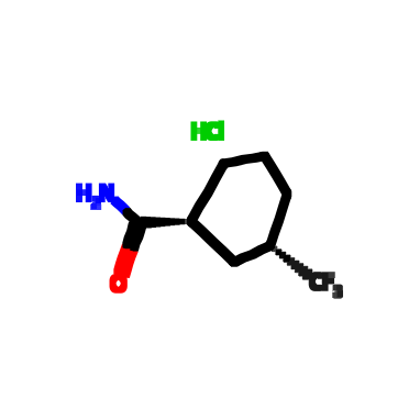 Cl.NC(=O)[C@@H]1CCC[C@H](C(F)(F)F)C1